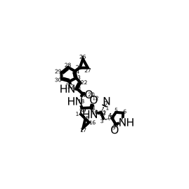 N#C[C@H](C[C@@H]1CCNC1=O)NC(=O)[C@H](CC1CC1)NC(=O)c1cc2c(C3CC3)cccc2[nH]1